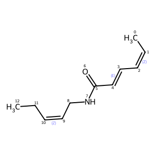 C/C=C\C=C\C(=O)NC/C=C\CC